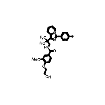 COc1cc(C(=O)NCC(O)(c2nc(-c3ccc(F)cc3)n3ccccc23)C(F)(F)F)ccc1OCCO